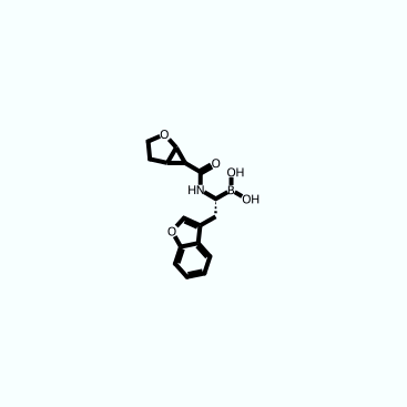 O=C(N[C@@H](Cc1coc2ccccc12)B(O)O)C1C2CCOC21